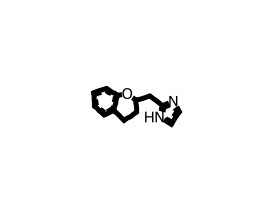 c1ccc2c(c1)CCC(Cc1ncc[nH]1)O2